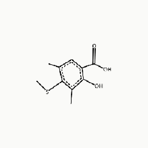 CSc1c(C)cc(C(=O)O)c(O)c1C